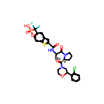 CC(C)(C)C(NC(=O)c1cc2cc(C(F)(F)P(=O)(O)O)ccc2s1)C(=O)N1CCC[C@H]1C(=O)N1CCOC(c2ccccc2Cl)C1